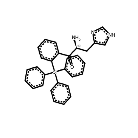 N[C@@H](Cc1c[nH]cn1)C(=O)c1ccccc1[Si](c1ccccc1)(c1ccccc1)c1ccccc1